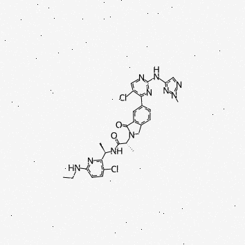 CCNc1ccc(Cl)c([C@@H](C)NC(=O)[C@@H](C)N2Cc3ccc(-c4nc(Nc5cnn(C)n5)ncc4Cl)cc3C2=O)n1